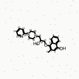 Cc1cc(O)c2ccccc2c1OCC(O)CN1CCN(c2ccccn2)CC1